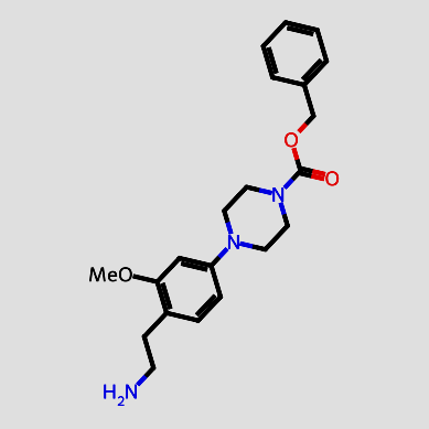 COc1cc(N2CCN(C(=O)OCc3ccccc3)CC2)ccc1CCN